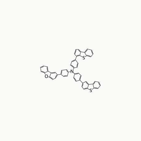 c1ccc2c(c1)oc1ccc(-c3ccc(N(c4ccc(-c5ccc6sc7ccccc7c6c5)cc4)c4ccc(-c5cccc6c5sc5ccccc56)cc4)cc3)cc12